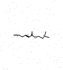 CCCCCCC/C=C/C(=O)OCCN(C)C